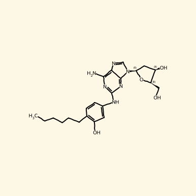 CCCCCCc1ccc(Nc2nc(N)c3ncn([C@H]4C[C@@H](O)[C@@H](CO)O4)c3n2)cc1O